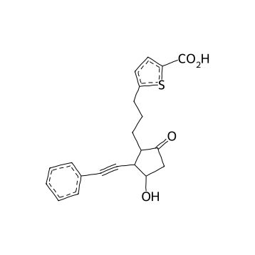 O=C(O)c1ccc(CCCC2C(=O)CC(O)C2C#Cc2ccccc2)s1